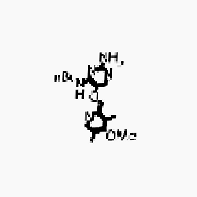 CCCCNc1nc(N)ncc1OCc1ncc(C)c(OC)c1C